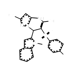 CC1=C(S(=O)(=O)c2ccc(Cl)cc2)C(c2cc3ccccc3n2C)n2nc(C(F)(F)F)cc2N1